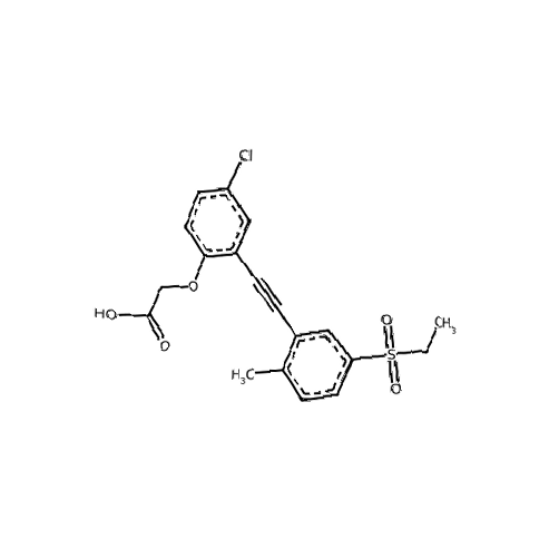 CCS(=O)(=O)c1ccc(C)c(C#Cc2cc(Cl)ccc2OCC(=O)O)c1